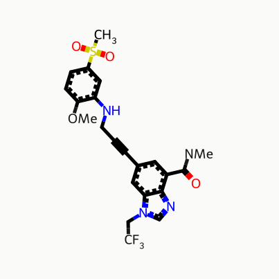 CNC(=O)c1cc(C#CCNc2cc(S(C)(=O)=O)ccc2OC)cc2c1ncn2CC(F)(F)F